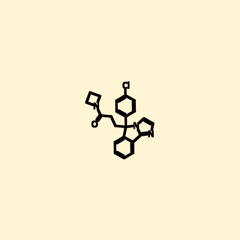 O=C(CCC1(c2ccc(Cl)cc2)c2ccccc2-c2nccn21)N1CCC1